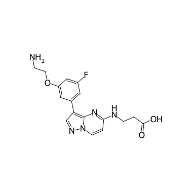 NCCOc1cc(F)cc(-c2cnn3ccc(NCCC(=O)O)nc23)c1